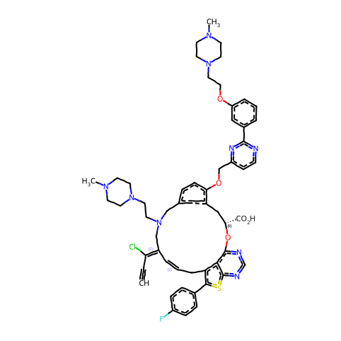 C#C/C(Cl)=C1\C=C/Cc2c(-c3ccc(F)cc3)sc3ncnc(c23)O[C@@H](C(=O)O)Cc2cc(ccc2OCc2ccnc(-c3cccc(OCCN4CCN(C)CC4)c3)n2)CN(CCN2CCN(C)CC2)C1